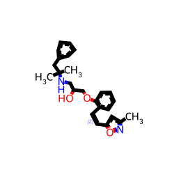 Cc1cc(/C=C\c2ccccc2OCC(O)CNC(C)(C)Cc2ccccc2)on1